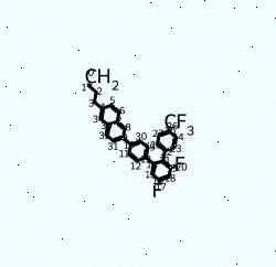 C=CCCc1ccc2cc(-c3ccc(-c4cc(F)cc(F)c4-c4ccc(C(F)(F)F)cc4)cc3)ccc2c1